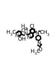 CCN(c1cc(Cl)cc2c(NCc3c(C)cc(C)nc3O)nccc12)[C@H]1CC[C@H](N2CC(OC)C2)CC1